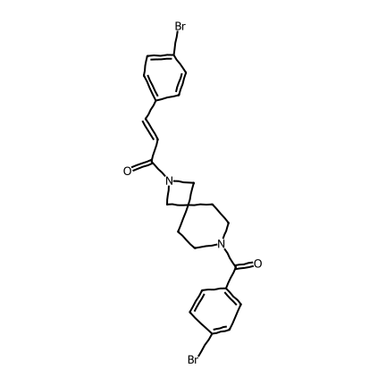 O=C(C=Cc1ccc(Br)cc1)N1CC2(CCN(C(=O)c3ccc(Br)cc3)CC2)C1